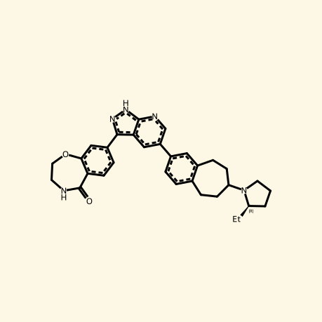 CC[C@@H]1CCCN1C1CCc2ccc(-c3cnc4[nH]nc(-c5ccc6c(c5)OCCNC6=O)c4c3)cc2CC1